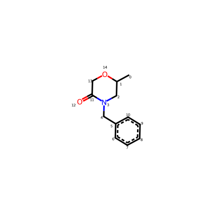 CC1CN(Cc2ccccc2)C(=O)CO1